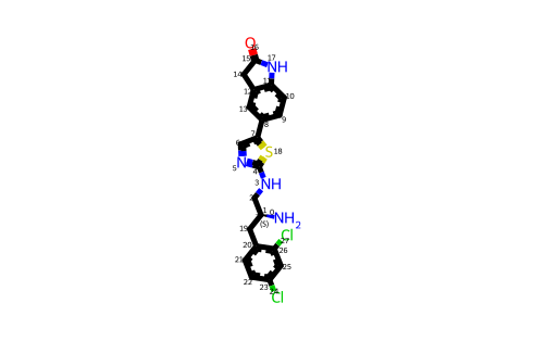 N[C@H](CNc1ncc(-c2ccc3c(c2)CC(=O)N3)s1)Cc1ccc(Cl)cc1Cl